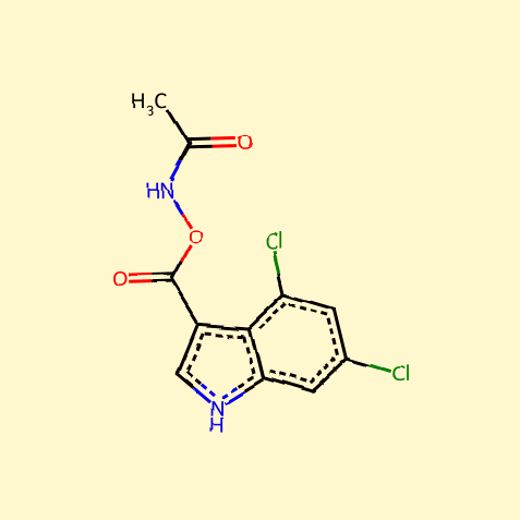 CC(=O)NOC(=O)c1c[nH]c2cc(Cl)cc(Cl)c12